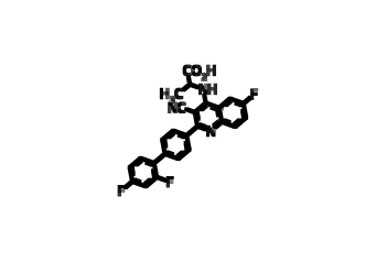 CC(Nc1c(C#N)c(-c2ccc(-c3ccc(F)cc3F)cc2)nc2ccc(F)cc12)C(=O)O